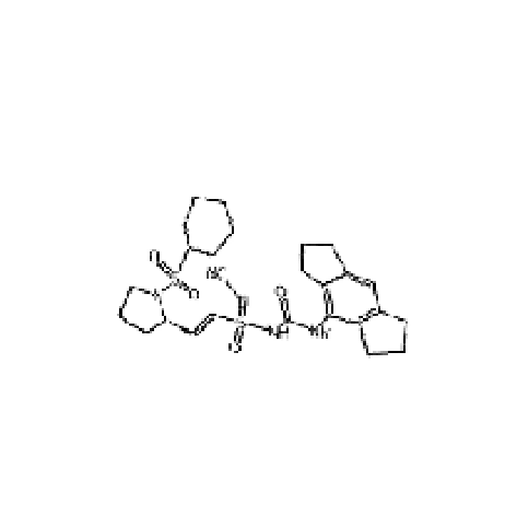 N#CN=S(=O)(/C=C/[C@H]1CCCN1S(=O)(=O)C1CCCCC1)NC(=O)Nc1c2c(cc3c1CCC3)CCC2